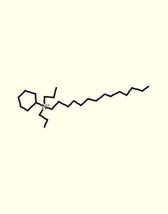 CCCCCCCCCCCCCC[N+](CCC)(CCC)C1CCCCC1